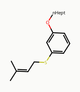 CCCCCCCOc1cccc(SCC=C(C)C)c1